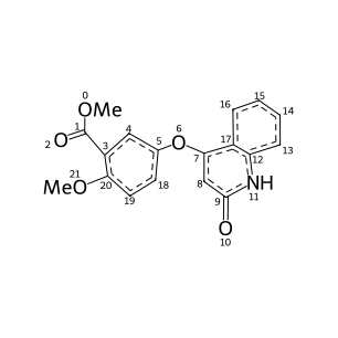 COC(=O)c1cc(Oc2cc(=O)[nH]c3ccccc23)ccc1OC